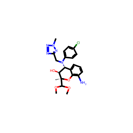 COC(OC)[C@]1(C)Oc2c(N)cccc2[C@@H](N(Cc2nnn(C)n2)c2ccc(Cl)cc2)[C@@H]1O